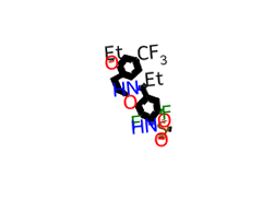 CCOc1cc(C(F)(F)F)ccc1/C=C\C(=O)NC(CC)c1cc(F)c(NS(C)(=O)=O)c(F)c1